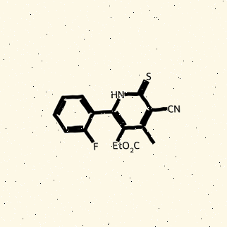 CCOC(=O)c1c(-c2ccccc2F)[nH]c(=S)c(C#N)c1C